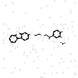 CS(=O)(=O)Nc1cc(C(O)CNCCOc2ccc3c(c2)[nH]c2ccccc23)ccc1Cl.Cl